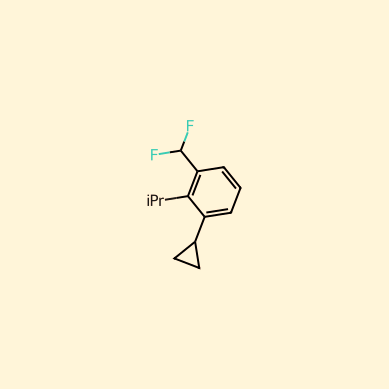 CC(C)c1c(C(F)F)cccc1C1CC1